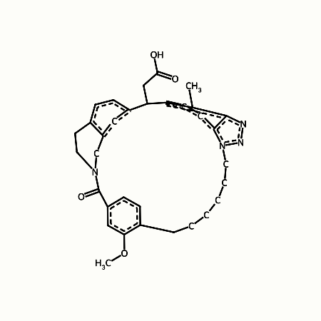 COc1cc2ccc1CCCCCCn1nnc3c(C)c(ccc31)C(CC(=O)O)c1ccc3c(c1)CN(CC3)C2=O